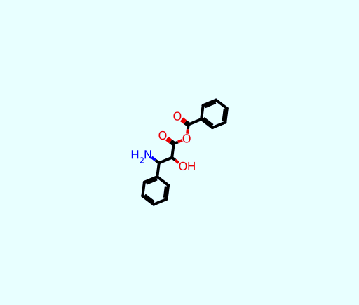 NC(c1ccccc1)C(O)C(=O)OC(=O)c1ccccc1